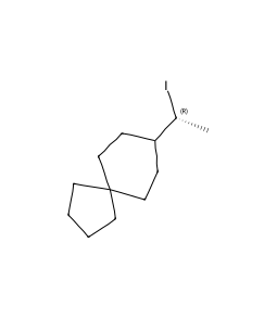 C[C@@H](I)C1CCC2(CCCC2)CC1